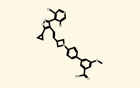 COc1cc(C(=O)O)cc(-c2ccc(N3CC(/C=C/c4c(-c5c(Cl)cncc5Cl)noc4C4CC4)C3)cc2)c1